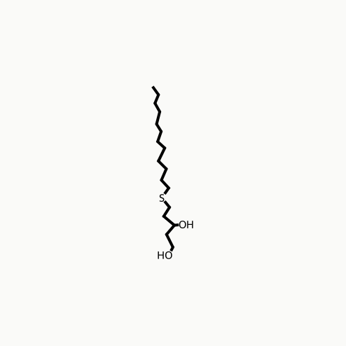 CCCCCCCCCCCCSCCC(O)CCO